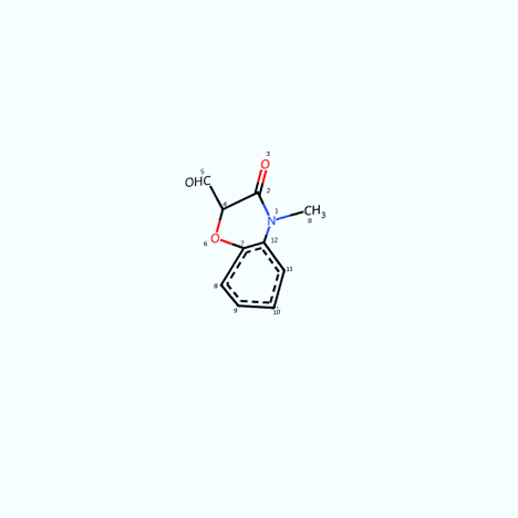 CN1C(=O)C(C=O)Oc2cc[c]cc21